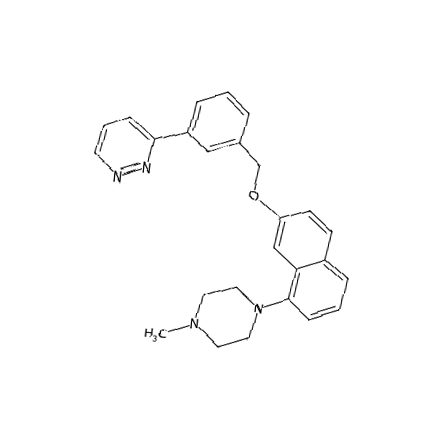 CN1CCN(c2cccc3ccc(OCc4cccc(-c5cccnn5)c4)cc23)CC1